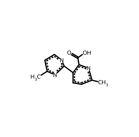 Cc1ccnc(-c2ccc(C)nc2C(=O)O)n1